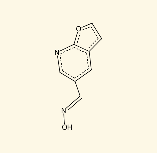 ON=Cc1cnc2occc2c1